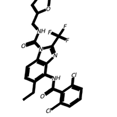 CCc1ccc2c(nc(C(F)(F)F)n2C(=O)NCC2CCCO2)c1NC(=O)c1c(Cl)cccc1Cl